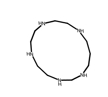 C1CNCCNCCNCCNCNC1